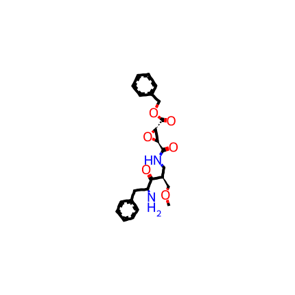 COC[C@H](CNC(=O)[C@H]1O[C@@H]1C(=O)OCc1ccccc1)C(=O)[C@@H](N)Cc1ccccc1